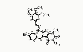 COc1cc(/C=N/Nc2nc3c(c(=O)n(C)c(=O)n3C)n2Cc2ccc(Br)cc2)cc(OC)c1OC